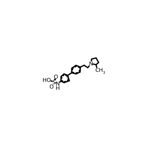 CC1CCCN1CCc1ccc(-c2ccc(NS(=O)(=O)O)cc2)cc1